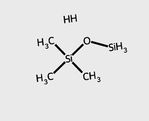 C[Si](C)(C)O[SiH3].[HH]